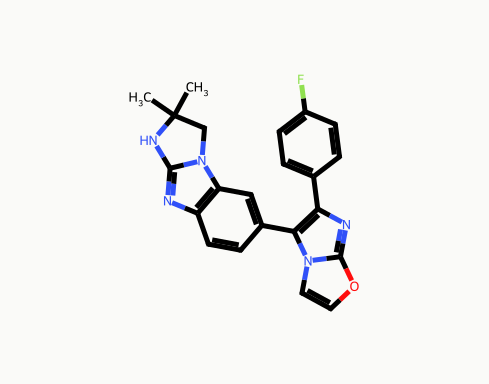 CC1(C)Cn2c(nc3ccc(-c4c(-c5ccc(F)cc5)nc5occn45)cc32)N1